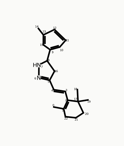 CC1=C(/C=C/C2=NNC(c3cccc(C)c3)C2)C(C)(C)CCC1